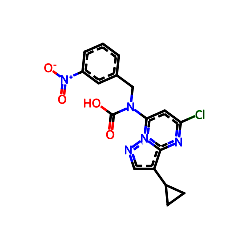 O=C(O)N(Cc1cccc([N+](=O)[O-])c1)c1cc(Cl)nc2c(C3CC3)cnn12